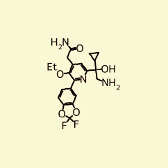 CCOc1c(CC(N)=O)cc([C@@](O)(CN)C2CC2)nc1-c1ccc2c(c1)OC(F)(F)O2